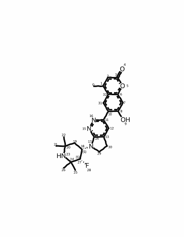 Cc1cc(=O)oc2cc(O)c(-c3cc4c(nn3)N([C@H]3CC(C)(C)NC(C)(C)[C@H]3F)CC4)cc12